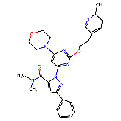 CC1CC=C(CCOc2nc(N3CCOCC3)cc(-n3nc(-c4ccccc4)cc3C(=O)N(C)C)n2)C=N1